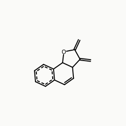 C=C1OC2c3ccccc3C=CC2C1=C